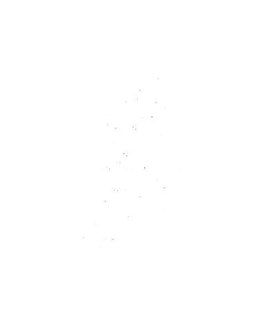 C[C@@H]1CN(c2nc(=O)n3c4c(c(Cl)c(C(F)(F)F)cc24)SCC(c2ccsc2)C3)C[C@H](C)N1C(=O)OC(C)(C)C